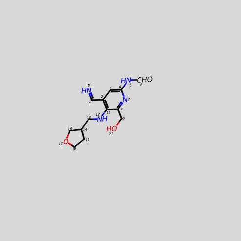 N=Cc1cc(NC=O)nc(CO)c1NCC1CCOC1